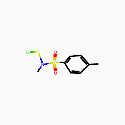 Cc1ccc(S(=O)(=O)N(C)SCl)cc1